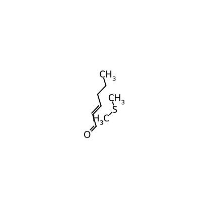 CCCC=CC=O.CSC